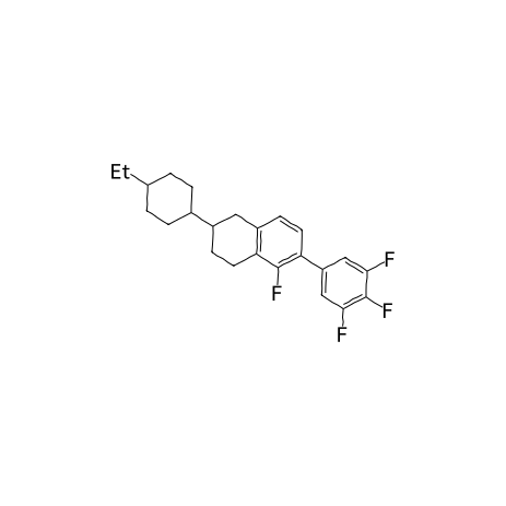 CCC1CCC(C2CCc3c(ccc(-c4cc(F)c(F)c(F)c4)c3F)C2)CC1